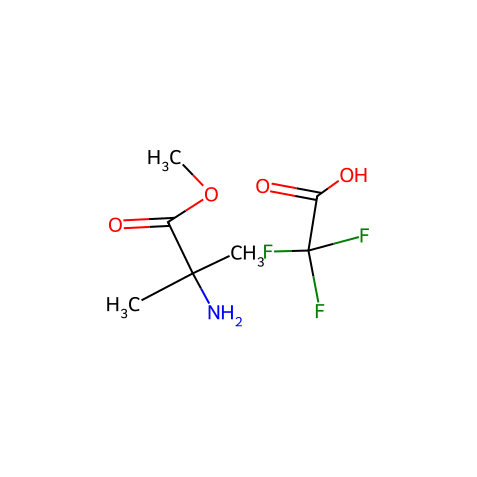 COC(=O)C(C)(C)N.O=C(O)C(F)(F)F